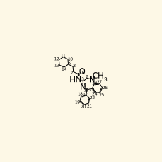 CN1CC(NC(=O)CCC2CCCCC2)N=C(c2ccccc2)c2ccccc21